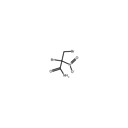 NC(=O)C(Br)(CBr)[N+](=O)[O-]